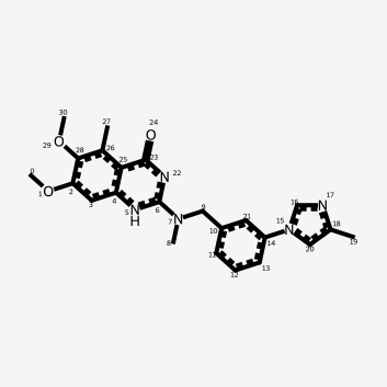 COc1cc2[nH]c(N(C)Cc3cccc(-n4cnc(C)c4)c3)nc(=O)c2c(C)c1OC